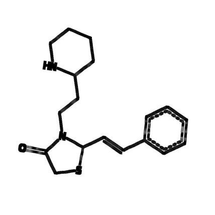 O=C1CSC(C=Cc2ccccc2)N1CCC1CCCCN1